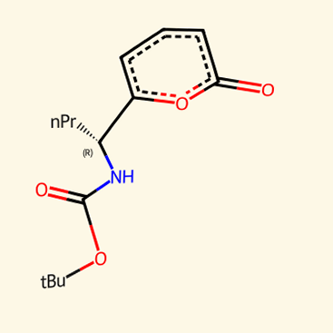 CCC[C@@H](NC(=O)OC(C)(C)C)c1cccc(=O)o1